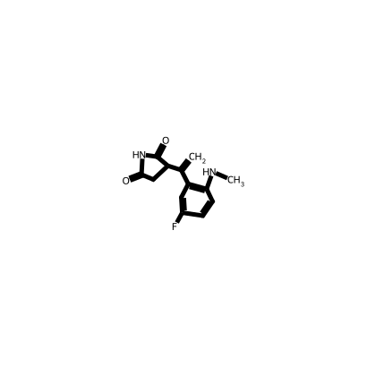 C=C(c1cc(F)ccc1NC)C1CC(=O)NC1=O